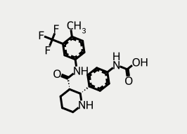 Cc1ccc(NC(=O)[C@H]2CCCN[C@H]2c2ccc(NC(=O)O)cc2)cc1C(F)(F)F